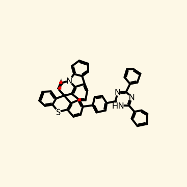 c1ccc(C2=NC(c3ccc(-c4ccc5c(c4)C4(c6ccccc6S5)c5ccccc5-n5c6ccccc6c6cccc4c65)cc3)NC(c3ccccc3)=N2)cc1